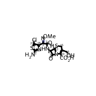 CO/N=C(\C(=O)N[C@@H]1C(=O)N2C(C(=O)O)=C(CO)CS[C@@H]12)c1nc(N)sc1Cl